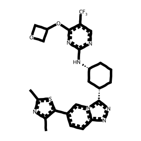 Cc1nc(C)c(-c2ccc3nnc([C@H]4CCC[C@@H](Nc5ncc(C(F)(F)F)c(OC6COC6)n5)C4)n3c2)s1